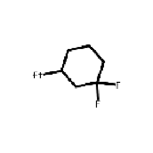 C[CH]C1CCCC(F)(F)C1